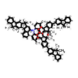 Cc1ccc(N(c2ccc(C)cc2-c2ccc3c(c2)C(C)(C)c2cc(-c4ccc5c(c4)C(C)(C)c4ccccc4-5)ccc2-3)c2cc3c(c4ccccc24)-c2cc4c(cc2C3(C)C)-c2ccccc2C4(C)C)c(-c2ccc3c(c2)C(C)(C)c2cc(-c4ccc5c(c4)C(C)(C)c4ccccc4-5)ccc2-3)c1